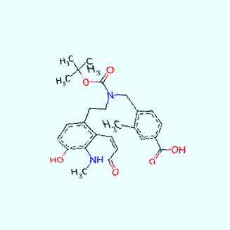 CNc1c(O)ccc(CCN(Cc2ccc(C(=O)O)cc2C)C(=O)OC(C)(C)C)c1/C=C\C=O